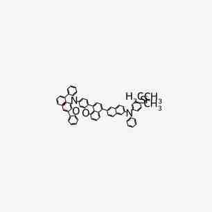 C[Si](C)(C)c1ccc(N(c2ccccc2)c2ccc3cc(-c4ccc5c6c(cccc46)Oc4cc(N(c6ccccc6-c6ccccc6)c6cccc7c6oc6ccccc67)ccc4-5)ccc3c2)cc1